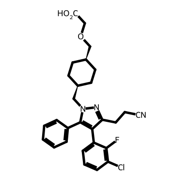 N#CCCc1nn(C[C@H]2CC[C@@H](COCC(=O)O)CC2)c(-c2ccccc2)c1-c1cccc(Cl)c1F